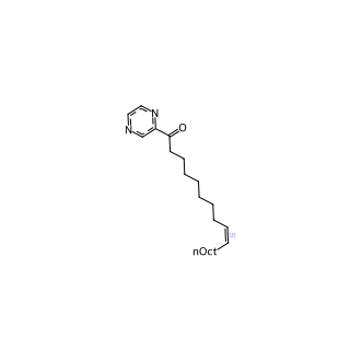 CCCCCCCC/C=C\CCCCCCCC(=O)c1cnccn1